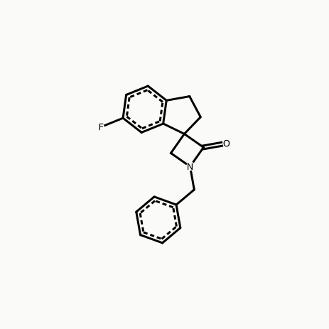 O=C1N(Cc2ccccc2)CC12CCc1ccc(F)cc12